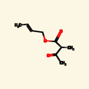 CC=CCOC(=O)C(C)C(C)=O